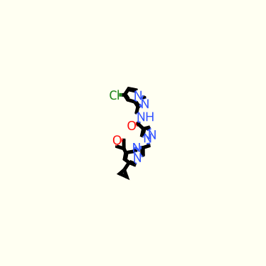 O=C(NCc1ncn2ccc(Cl)cc12)c1cnn(Cc2cn3cc(C4CC4)cc(C4COC4)c3n2)c1